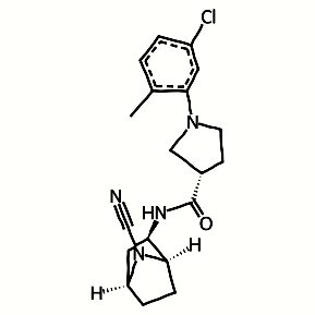 Cc1ccc(Cl)cc1N1CC[C@H](C(=O)N[C@@H]2C[C@@H]3CC[C@H]2N3C#N)C1